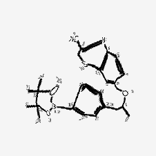 CC(Oc1ccc2nc(C#N)sc2c1)c1ccc(B2OC(C)(C)C(C)(C)O2)cc1